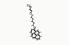 CCOC=COCCCCCCOc1ccc2ccc3cccc4ccc1c2c34